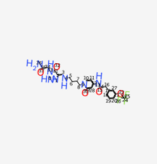 N=N/C(=C\NCCCCn1ccc(NC(=O)Cc2cccc(OC(F)(F)F)c2)cc1=O)C(=O)NCC(N)=O